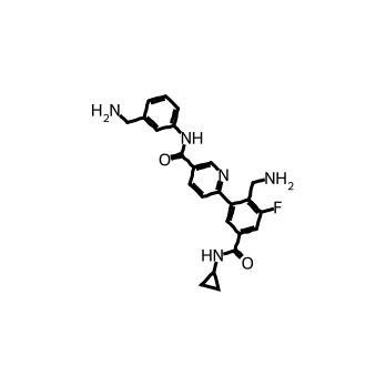 NCc1cccc(NC(=O)c2ccc(-c3cc(C(=O)NC4CC4)cc(F)c3CN)nc2)c1